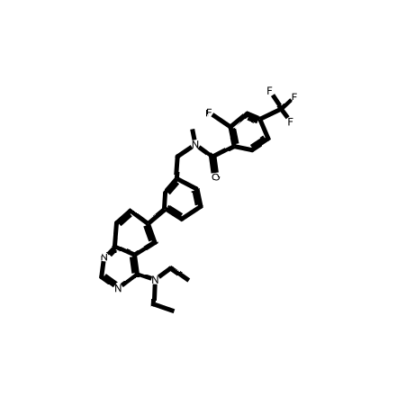 CCN(CC)c1ncnc2ccc(-c3cccc(CN(C)C(=O)c4ccc(C(F)(F)F)cc4F)c3)cc12